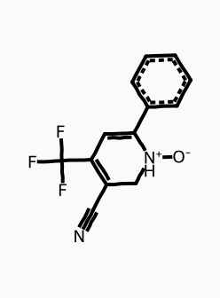 N#CC1=C(C(F)(F)F)C=C(c2ccccc2)[NH+]([O-])C1